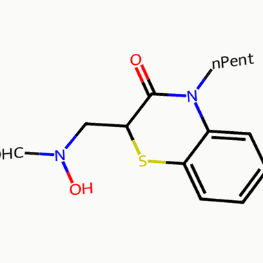 CCCCCN1C(=O)C(CN(O)C=O)Sc2ccccc21